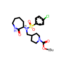 CC(C)(C)OC(=O)N1CCC(CN([C@@H]2CCCCNC2=O)S(=O)(=O)c2ccc(Cl)cc2)CC1